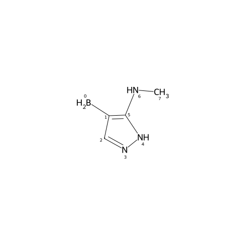 Bc1cn[nH]c1NC